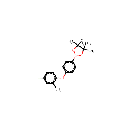 Cc1cc(F)ccc1Oc1ccc(B2OC(C)(C)C(C)(C)O2)cc1